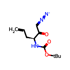 C=CC[C@H](NC(=O)OC(C)(C)C)C(=O)C=[N+]=[N-]